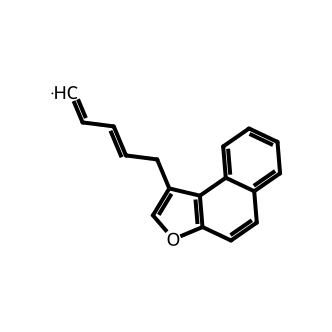 [CH]=CC=CCc1coc2ccc3ccccc3c12